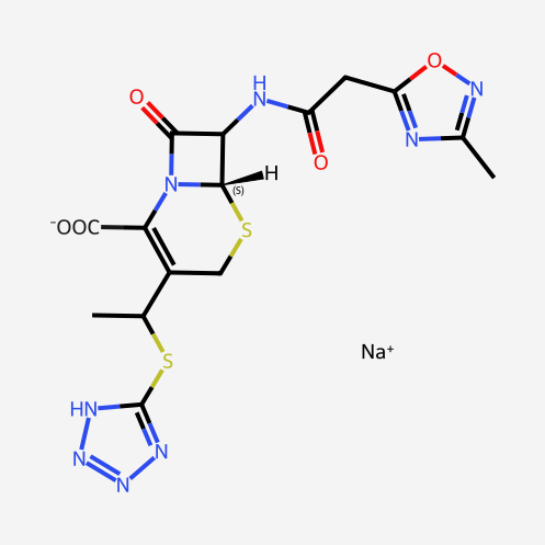 Cc1noc(CC(=O)NC2C(=O)N3C(C(=O)[O-])=C(C(C)Sc4nnn[nH]4)CS[C@@H]23)n1.[Na+]